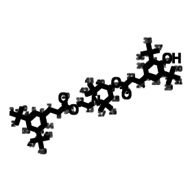 CC(C)(C)C1=CC(CCC(=O)OCCN2C(C)(C)CC(OC(=O)CCc3cc(C(C)(C)C)c(O)c(C(C)(C)C)c3)CC2(C)C)=CC(C(C)(C)C)C1